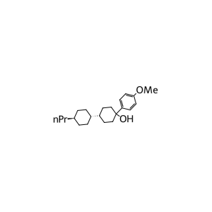 CCC[C@H]1CC[C@H](C2CCC(O)(c3ccc(OC)cc3)CC2)CC1